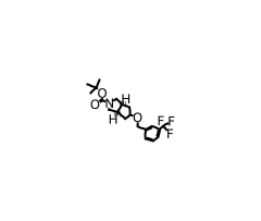 CC(C)(C)OC(=O)N1C[C@H]2CC(OCc3cccc(C(F)(F)F)c3)C[C@H]2C1